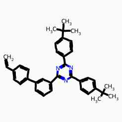 C=Cc1ccc(-c2cccc(-c3nc(-c4ccc(C(C)(C)C)cc4)nc(-c4ccc(C(C)(C)C)cc4)n3)c2)cc1